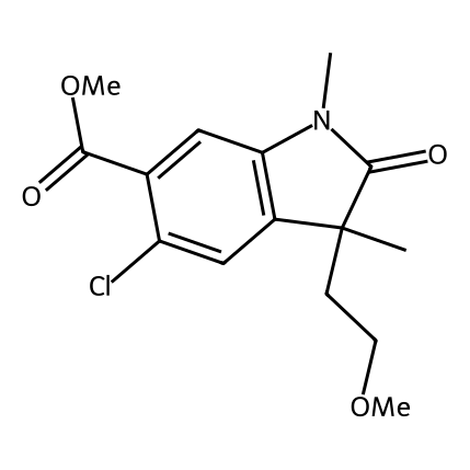 COCCC1(C)C(=O)N(C)c2cc(C(=O)OC)c(Cl)cc21